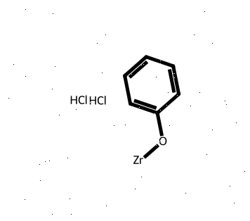 Cl.Cl.[Zr][O]c1ccccc1